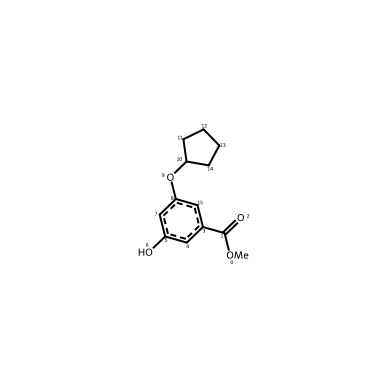 COC(=O)c1cc(O)cc(OC2CCCC2)c1